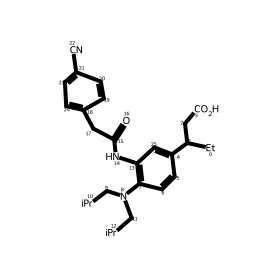 CCC(CC(=O)O)c1ccc(N(CC(C)C)CC(C)C)c(NC(=O)Cc2ccc(C#N)cc2)c1